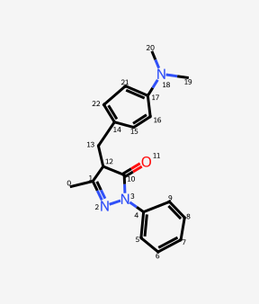 CC1=NN(c2ccccc2)C(=O)C1Cc1ccc(N(C)C)cc1